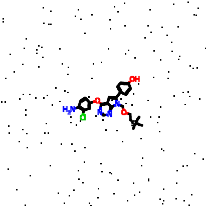 C[Si](C)(C)CCOCn1c(-c2ccc(O)cc2)cc2c(Oc3ccc(N)c(Cl)c3)ncnc21